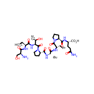 CC[C@H](C)[C@H](NC(=O)[C@@H]1CCCN1C(=O)[C@@H](NC(=O)[C@H](CC(=O)O)NC(=O)[C@@H](N)CO)[C@@H](C)O)C(=O)N[C@@H](CC(C)C)C(=O)N1CCC[C@H]1C(=O)N[C@@H](CCC(N)=O)C(=O)O